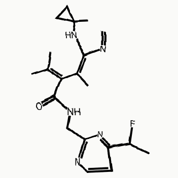 C=N/C(NC1(C)CC1)=C(\C)C(C(=O)NCc1nccc(C(C)F)n1)=C(C)C